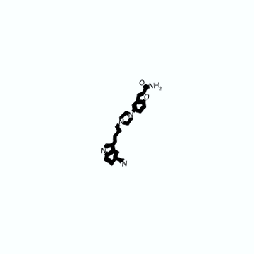 N#Cc1ccc2c(c1)C(CCCCN1CCN(c3ccc4oc(C(N)=O)cc4c3)CC1)C=N2